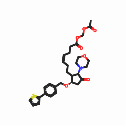 CC(=O)OCOC(=O)CC/C=C\CCC1[C@@H](OCc2ccc(-c3cccs3)cc2)CC(=O)[C@@H]1N1CCOCC1